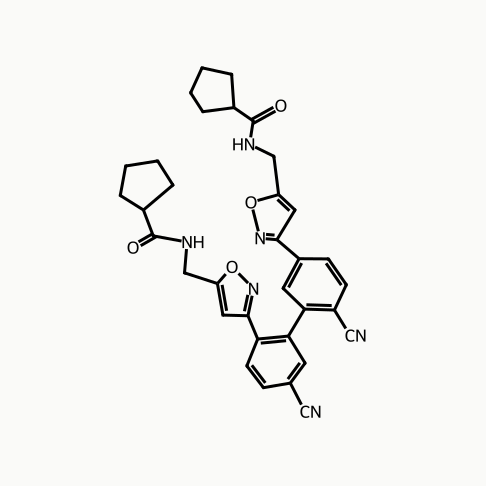 N#Cc1ccc(-c2cc(CNC(=O)C3CCCC3)on2)c(-c2cc(-c3cc(CNC(=O)C4CCCC4)on3)ccc2C#N)c1